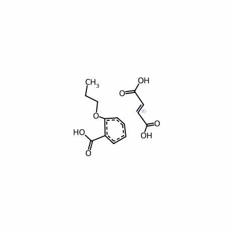 CCCOc1ccccc1C(=O)O.O=C(O)/C=C/C(=O)O